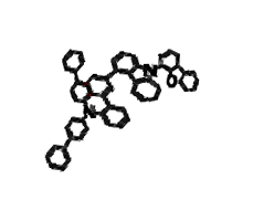 C1=Cc2c(n(-c3cccc4c3oc3ccccc34)c3cccc(-c4cccc(-c5ccccc5N(c5ccc(-c6ccccc6)cc5)c5ccc(-c6ccccc6)cc5)c4)c23)CC1